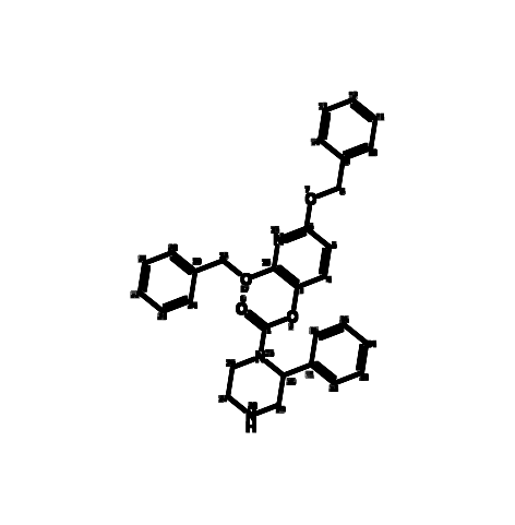 O=C(Oc1ccc(OCc2ccccc2)nc1OCc1ccccc1)N1CCNCC1c1ccccc1